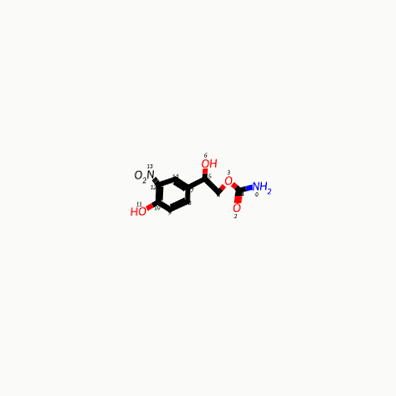 NC(=O)OCC(O)c1ccc(O)c([N+](=O)[O-])c1